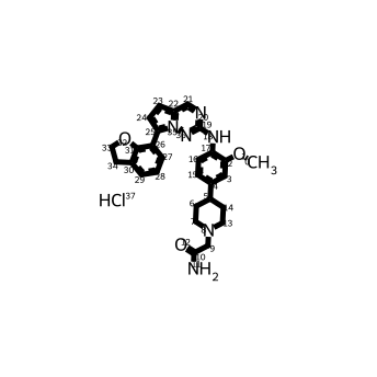 COc1cc(C2CCN(CC(N)=O)CC2)ccc1Nc1ncc2ccc(-c3cccc4c3OCC4)n2n1.Cl